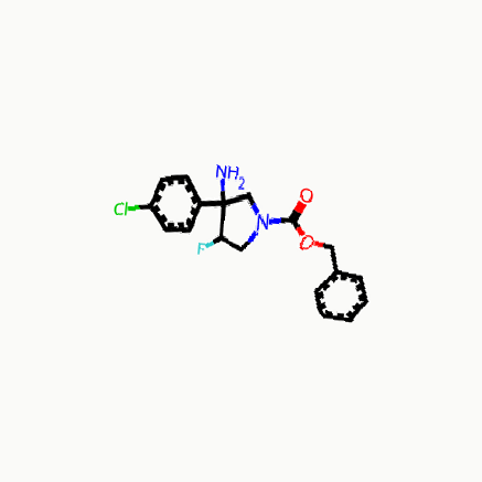 NC1(c2ccc(Cl)cc2)CN(C(=O)OCc2ccccc2)CC1F